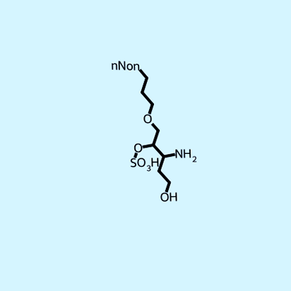 CCCCCCCCCCCCOCC(OS(=O)(=O)O)C(N)CCO